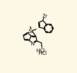 CCC1=NC2=CC=C3C2=C1[Si]3(C)C.Cl.Cl.[Zr][CH]1C=Cc2ccccc21